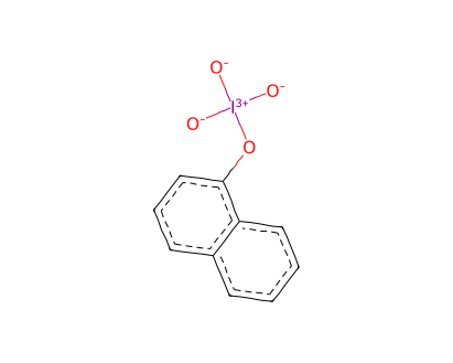 [O-][I+3]([O-])([O-])Oc1cccc2ccccc12